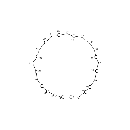 [CH]1CCCCCCCCCCCCCCCCCCCCCCCC1